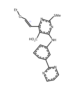 CCO/C=C/c1nc(SC)nc(Nc2cccc(-c3ncccn3)c2)c1C(=O)O